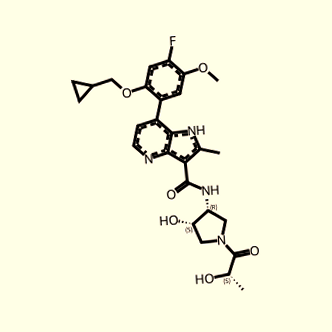 COc1cc(-c2ccnc3c(C(=O)N[C@@H]4CN(C(=O)[C@H](C)O)C[C@@H]4O)c(C)[nH]c23)c(OCC2CC2)cc1F